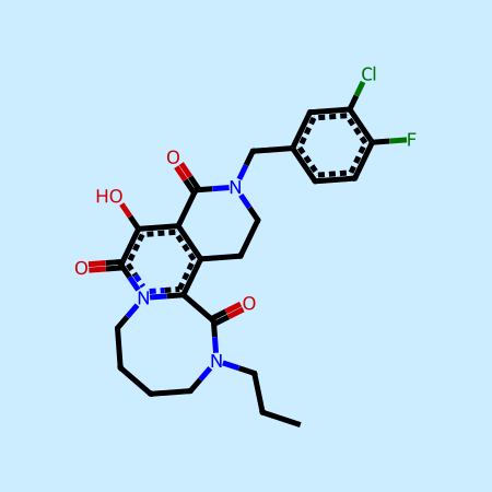 CCCN1CCCCn2c(c3c(c(O)c2=O)C(=O)N(Cc2ccc(F)c(Cl)c2)CC3)C1=O